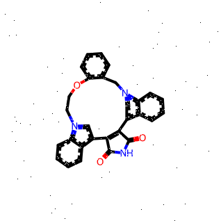 O=C1NC(=O)C2=C1c1cn(c3ccccc13)CCOc1ccccc1Cn1cc2c2ccccc21